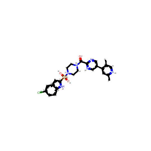 Cc1cc(-c2cnc(C(=O)N3CCN(S(=O)(=O)c4cc5cc(Cl)ccc5[nH]4)CC3)nc2)c(C)cn1